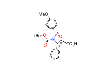 COc1ccc([C@@H]2O[C@@H](C(=O)O)[C@H](c3ccccc3)N2C(=O)OC(C)(C)C)cc1